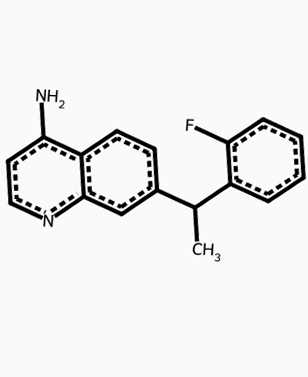 CC(c1ccc2c(N)ccnc2c1)c1ccccc1F